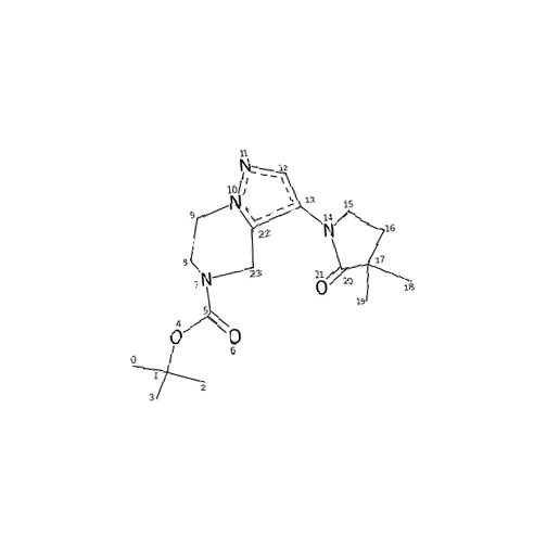 CC(C)(C)OC(=O)N1CCn2ncc(N3CCC(C)(C)C3=O)c2C1